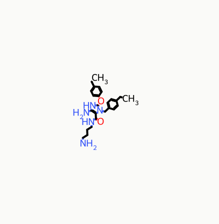 CCc1ccc(CN2C(C(=O)NCCCCN)=C(N)NC2Oc2ccc(CC)cc2)cc1